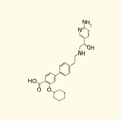 Nc1ccc([C@@H](O)CNCCc2ccc(-c3ccc(C(=O)O)c(OC4CCCCC4)c3)cc2)cn1